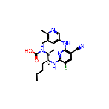 CCCC[C@H](Nc1nc(Nc2cnc(C)c(C)c2)c(C#N)cc1F)[C@H](C)NC(=O)O